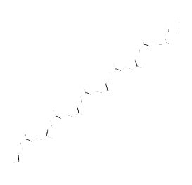 CC(C)=CCCC(C)=CCCC(C)=CCCC(C)=CCCC(C)=CCCC(C)=CCCC(C)=CCCC(C)=CCCC(C)=CCCC(C)=CCCC(C)CCO